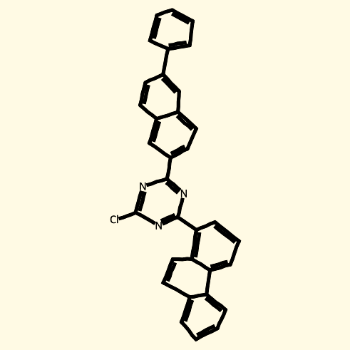 Clc1nc(-c2ccc3cc(-c4ccccc4)ccc3c2)nc(-c2cccc3c2ccc2ccccc23)n1